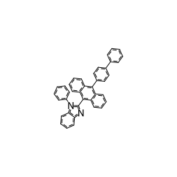 c1ccc(-c2ccc(-c3c4ccccc4c(-c4nc5ccccc5n4-c4ccccc4)c4ccccc34)cc2)cc1